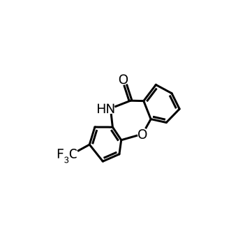 O=C1Nc2cc(C(F)(F)F)ccc2Oc2ccccc21